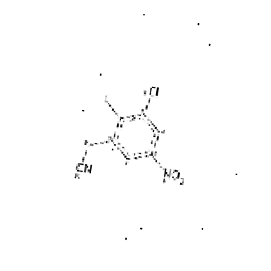 Cc1c(Cl)cc([N+](=O)[O-])cc1CC#N